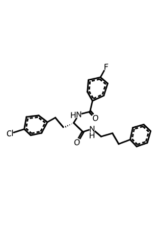 O=C(N[C@@H](CCc1ccc(Cl)cc1)C(=O)NCCCc1ccccc1)c1ccc(F)cc1